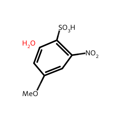 COc1ccc(S(=O)(=O)O)c([N+](=O)[O-])c1.O